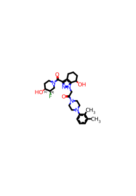 Cc1cccc(N2CCN(C(=O)Cn3nc(C(=O)N4CC[C@H](O)[C@H](F)C4)c4c3C(O)CCC4)CC2)c1C